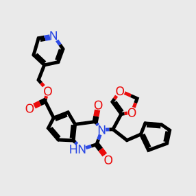 O=C(OCc1ccncc1)c1ccc2[nH]c(=O)n(C(Cc3ccccc3)C3=COCO3)c(=O)c2c1